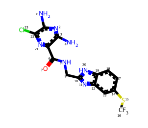 Nc1nc(N)c(C(=O)NCc2nc3cc(SC(F)(F)F)ccc3[nH]2)nc1Cl